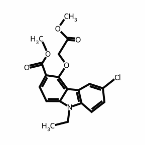 CCn1c2ccc(Cl)cc2c2c(OCC(=O)OC)c(C(=O)OC)ccc21